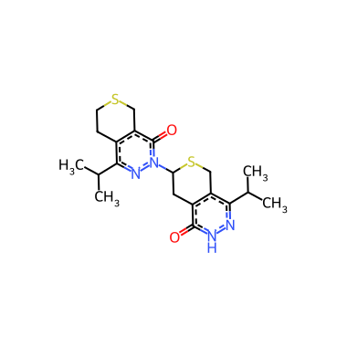 CC(C)c1n[nH]c(=O)c2c1CSC(n1nc(C(C)C)c3c(c1=O)CSCC3)C2